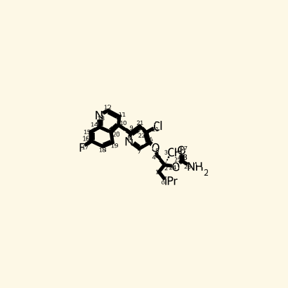 CC(C)C[C@@](C)(COc1cnc(-c2ccnc3cc(F)ccc23)cc1Cl)OC(N)=O